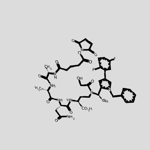 C[C@H](NC(=O)CCCC(=O)ON1C(=O)C=CC1=O)C(=O)N[C@@H](C)C(=O)N[C@@H](CC(N)=O)C(=O)N[C@@H](CCN(C(=O)CO)[C@@H](c1cc(-c2cc(F)ccc2F)cn1Cc1ccccc1)C(C)(C)C)C(=O)O